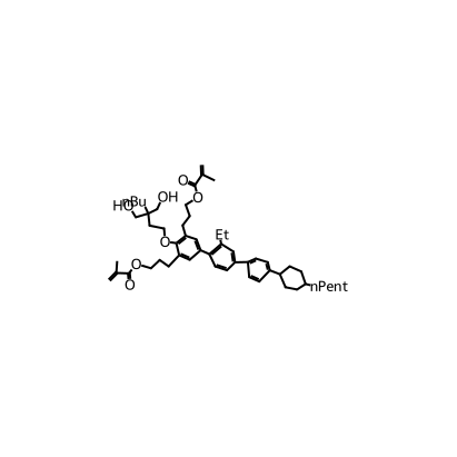 C=C(C)C(=O)OCCCc1cc(-c2ccc(-c3ccc(C4CCC(CCCCC)CC4)cc3)cc2CC)cc(CCCOC(=O)C(=C)C)c1OCCC(CO)(CO)CCCC